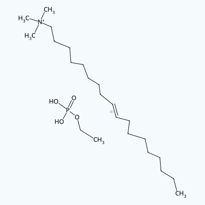 CCCCCCCC/C=C/CCCCCCCC[N+](C)(C)C.CCOP(=O)(O)O